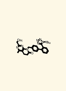 Cc1nc(CO)nc2c1CCC(=O)N2Cc1ccc(-c2ccccc2-c2nnnn2C(C)(C)C)cc1